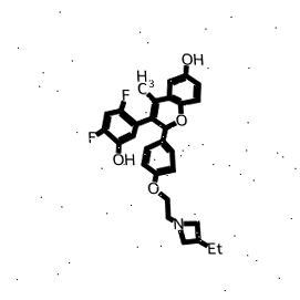 CCC1CN(CCOc2ccc(C3Oc4ccc(O)cc4C(C)=C3c3cc(O)c(F)cc3F)cc2)C1